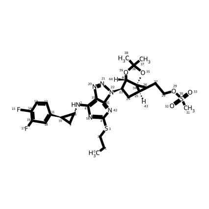 CCCSc1nc(N[C@@H]2C[C@H]2c2ccc(F)c(F)c2)c2nnn([C@@H]3C[C@@H]4C(CCOS(C)(=O)=O)[C@@]45OC(C)(C)O[C@@H]35)c2n1